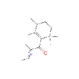 C/C=C(\C)C(=O)C1=C(C)C(C)CCC1(C)C